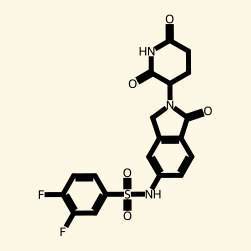 O=C1CCC(N2Cc3cc(NS(=O)(=O)c4ccc(F)c(F)c4)ccc3C2=O)C(=O)N1